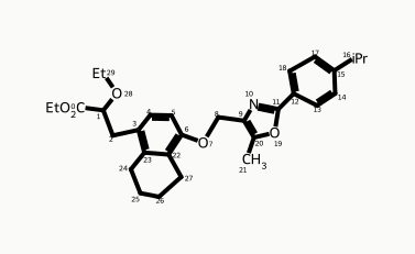 CCOC(=O)C(Cc1ccc(OCc2nc(-c3ccc(C(C)C)cc3)oc2C)c2c1CCCC2)OCC